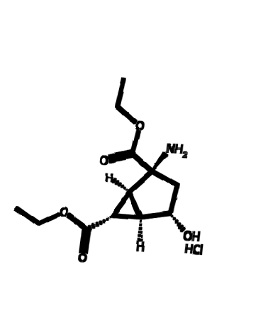 CCOC(=O)[C@H]1[C@H]2[C@@H]1[C@](N)(C(=O)OCC)C[C@@H]2O.Cl